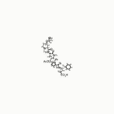 CC(=O)O[C@H](C[C@@H](C(C)C)N(C)C(=O)[C@@H](NC(=O)C1C[C@H](O[Si](C)(C)C(C)(C)C)CCN1C)C(C)C)c1nc(C(=O)N[C@H](Cc2ccccc2)C[C@H](C)C(=O)O)cs1